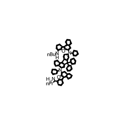 CCCCNc1cccc2c1oc1c(N(c3ccccc3)c3ccc4c(c3)C(c3ccccc3)(c3ccccc3)c3cc(N(c5ccccc5)c5cc6ccccc6c6c5oc5c(C(N)CCC)cccc56)c5ccccc5c3-4)cc3ccccc3c12